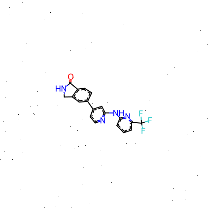 O=C1NCc2cc(-c3ccnc(Nc4cccc(C(F)(F)F)n4)c3)ccc21